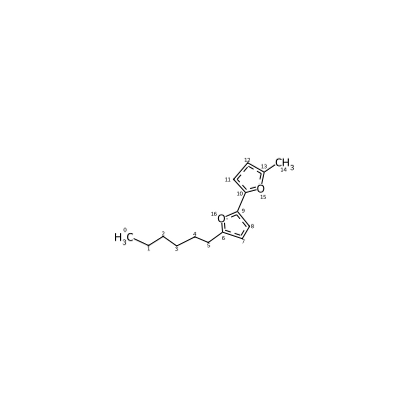 CCCCCCc1ccc(-c2ccc(C)o2)o1